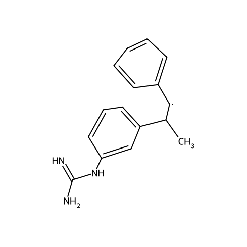 CC([CH]c1ccccc1)c1cccc(NC(=N)N)c1